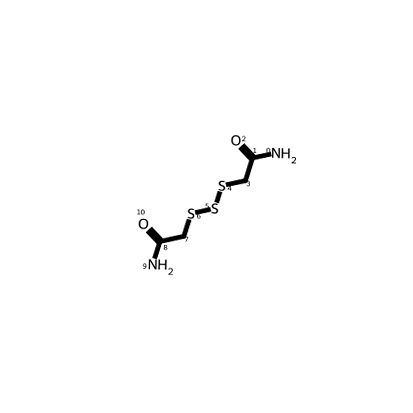 NC(=O)CSSSCC(N)=O